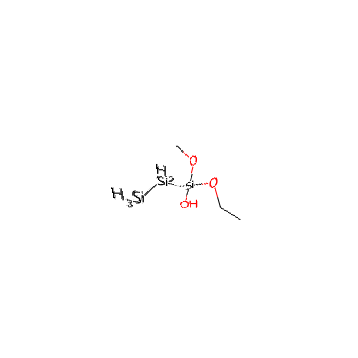 CCO[Si](O)(OC)[SiH2][SiH3]